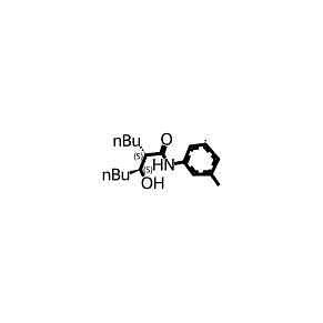 CCCC[C@H](C(=O)Nc1c[c]cc(C)c1)[C@@H](O)CCCC